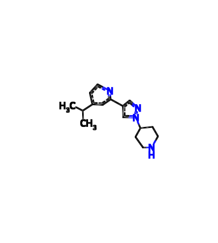 CC(C)c1ccnc(-c2cnn(C3CCNCC3)c2)c1